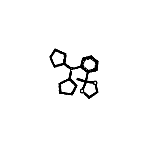 CC1(c2ccccc2P(C2CCCC2)C2CCCC2)OCCO1